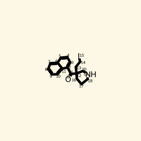 O=C(c1cccc2ccccc12)C1(CCI)CCCNC1